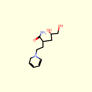 NC(=O)C(CCN1C=CC=CC1)C[C@@H](O)CO